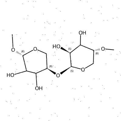 CO[C@@H]1OC[C@@H](O[C@@H]2OC[C@@H](OC)C(O)[C@@H]2O)C(O)C1O